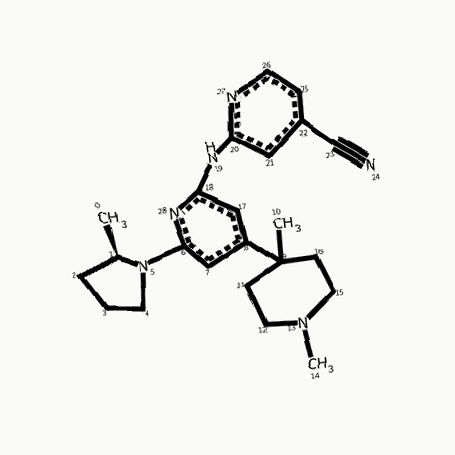 C[C@@H]1CCCN1c1cc(C2(C)CCN(C)CC2)cc(Nc2cc(C#N)ccn2)n1